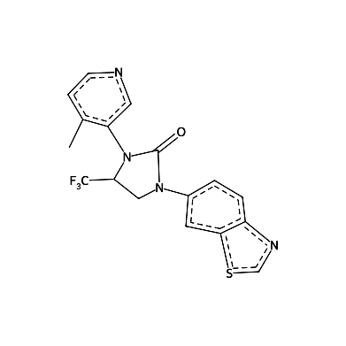 Cc1ccncc1N1C(=O)N(c2ccc3ncsc3c2)CC1C(F)(F)F